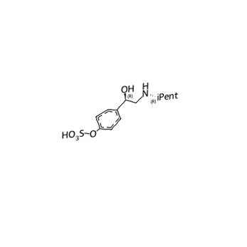 CCC[C@@H](C)NC[C@H](O)c1ccc(OS(=O)(=O)O)cc1